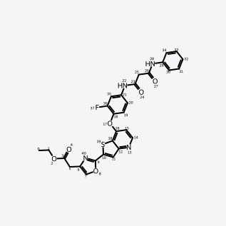 CCOC(=O)Cc1coc(-c2cc3nccc(Oc4ccc(NC(=O)CC(=O)Nc5ccccc5)cc4F)c3s2)n1